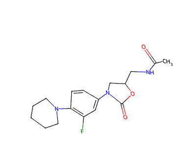 CC(=O)NCC1CN(c2ccc(N3CCCCC3)c(F)c2)C(=O)O1